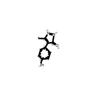 CC1=C(c2ccc(C(C)C)cc2)C(=O)N=N1